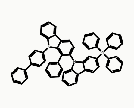 c1ccc(-c2ccc(-n3c4ccccc4c4ccc(-n5c6ccccc6c6ccc([Si](c7ccccc7)(c7ccccc7)c7ccccc7)cc65)c(-c5ccccc5)c43)cc2)cc1